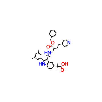 Cc1cc(C)cc(-c2[nH]c3ccc(C(C)(C)C(=O)O)cc3c2C(C)(C)NCC(CCc2ccncc2)C(=O)OCc2ccccc2)c1